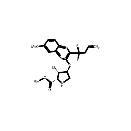 C=CCC(F)(F)c1nc2ccc(OC)cc2nc1O[C@H]1CN[C@H](C(=O)OC(C)(C)C)[C@@H]1CC